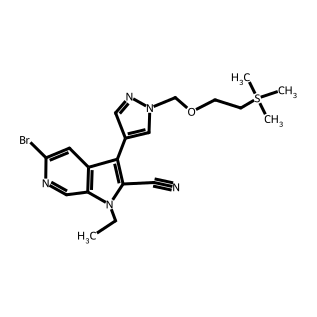 CCn1c(C#N)c(-c2cnn(COCCS(C)(C)C)c2)c2cc(Br)ncc21